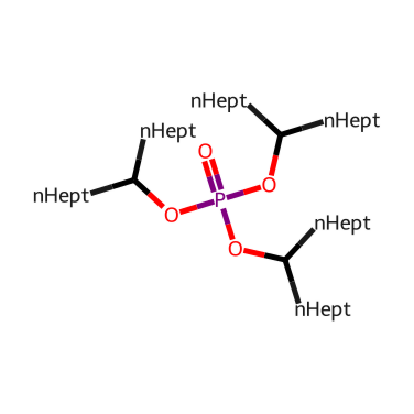 CCCCCCCC(CCCCCCC)OP(=O)(OC(CCCCCCC)CCCCCCC)OC(CCCCCCC)CCCCCCC